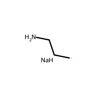 [CH2]CCN.[NaH]